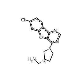 NC[C@H]1CCN(c2ncnc3c2oc2cc(Cl)ccc23)C1